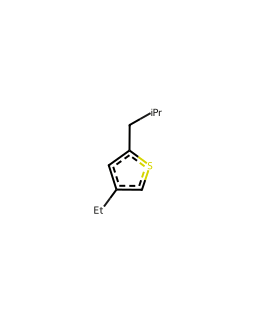 CCc1csc(CC(C)C)c1